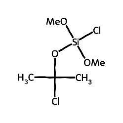 CO[Si](Cl)(OC)OC(C)(C)Cl